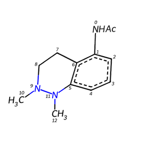 CC(=O)Nc1cccc2c1CCN(C)N2C